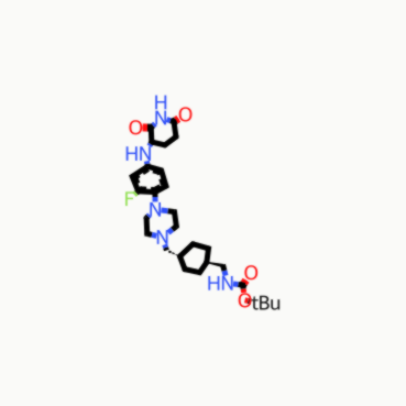 CC(C)(C)OC(=O)NC[C@H]1CC[C@H](CN2CCN(c3ccc(NC4CCC(=O)NC4=O)cc3F)CC2)CC1